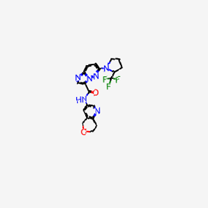 O=C(Nc1cnc2c(c1)COCC2)c1cnc2ccc(N3CCCC3C(F)(F)F)nn12